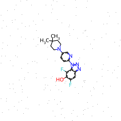 CC1(C)CCN(c2ccc(-n3nnc4cc(F)c(O)c(F)c43)nc2)CC1